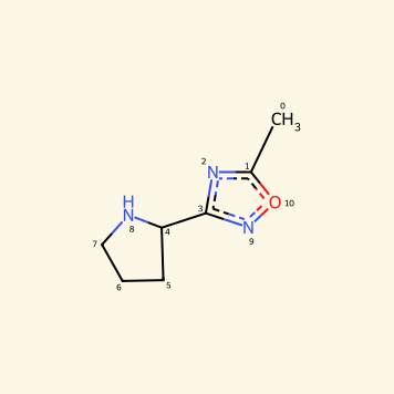 Cc1nc(C2CCCN2)no1